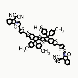 Cc1ccc(C2(c3ccc(C)cc3)c3cc4cc(-c5ccc(CC/C=C6\C(=O)c7ccccc7C6=C(C#N)C#N)s5)sc4cc3-c3sc4c5c(sc4c32)-c2cc3cc(-c4ccc(S/C=C6\C(=O)c7ccccc7C6=C(C#N)C#N)s4)sc3cc2C5(c2ccc(C)cc2)c2ccc(C)cc2)cc1